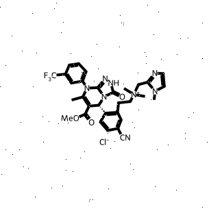 COC(=O)C1=C(C)N(c2cccc(C(F)(F)F)c2)c2n[nH]c(=O)n2[C@@H]1c1ccc(C#N)cc1CC[N+](C)(C)Cc1nccn1C.[Cl-]